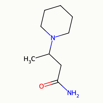 CC(CC(N)=O)N1CCCCC1